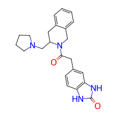 O=C(Cc1ccc2[nH]c(=O)[nH]c2c1)N1Cc2ccccc2CC1CN1CCCC1